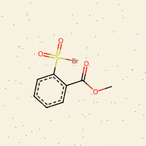 COC(=O)c1ccccc1S(=O)(=O)Br